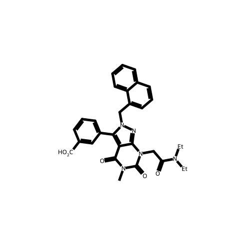 CCN(CC)C(=O)Cn1c(=O)n(C)c(=O)c2c(-c3cccc(C(=O)O)c3)n(Cc3cccc4ccccc34)nc21